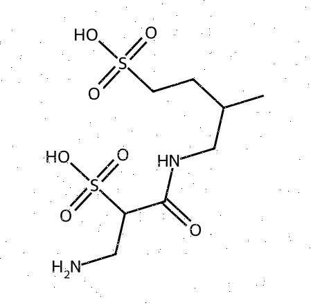 CC(CCS(=O)(=O)O)CNC(=O)C(CN)S(=O)(=O)O